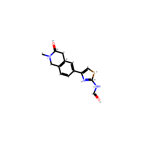 CN1Cc2ccc(-c3csc(NC=O)n3)cc2CC1=O